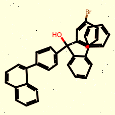 OC(c1ccc(-c2cccc3ccccc23)cc1)(c1cccc(Br)c1)c1ccccc1-c1ccccc1